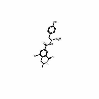 CC1Cc2c(Cl)cc(C(=O)N[C@@H](Cc3ccc(O)cc3)C(=O)O)cc2C(=O)O1